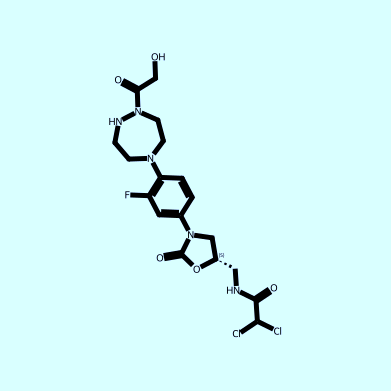 O=C(NC[C@H]1CN(c2ccc(N3CCNN(C(=O)CO)CC3)c(F)c2)C(=O)O1)C(Cl)Cl